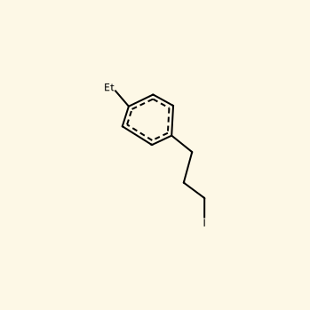 CCc1ccc(CCCI)cc1